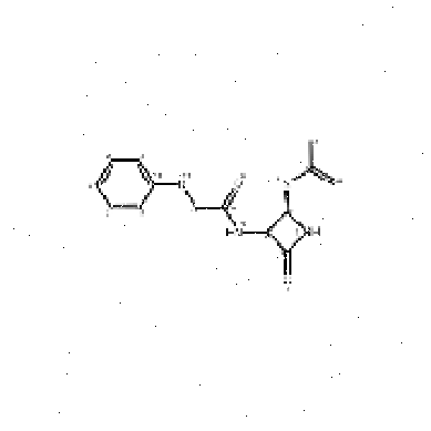 C=C(C)S[C@H]1NC(=O)C1NC(=O)COc1ccccc1